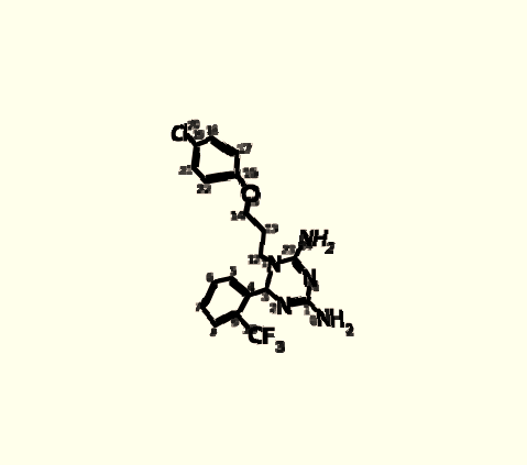 NC1=NC(c2ccccc2C(F)(F)F)N(CCCOc2ccc(Cl)cc2)C(N)=N1